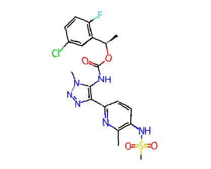 Cc1nc(-c2nnn(C)c2NC(=O)O[C@H](C)c2cc(Cl)ccc2F)ccc1NS(C)(=O)=O